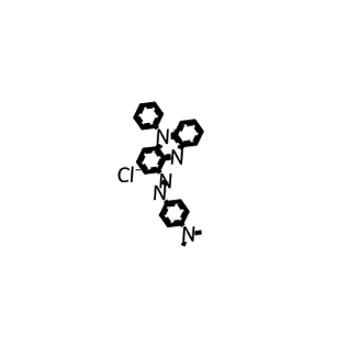 CN(C)c1ccc(N=Nc2cccc3c2nc2ccccc2[n+]3-c2ccccc2)cc1.[Cl-]